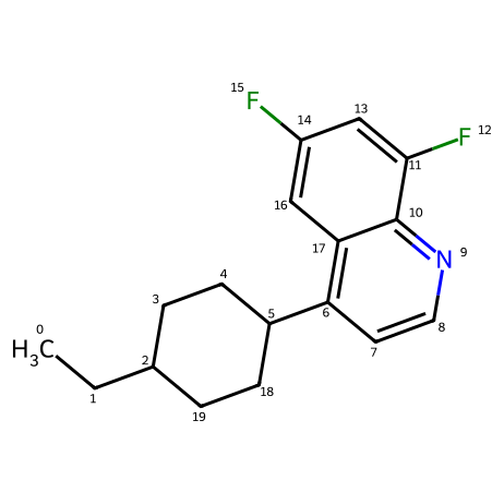 CCC1CCC(c2ccnc3c(F)cc(F)cc23)CC1